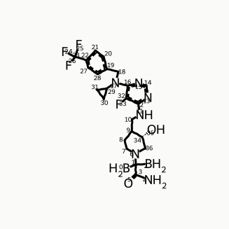 BC(B)(C(N)=O)N1CCC(CNc2ncnc(N(Cc3ccc(C(F)(F)F)cc3)C3CC3)c2F)[C@H](O)C1